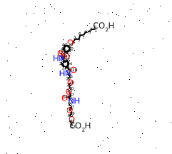 O=C(O)CCCCCCCCCOc1ccc(S(=O)(=O)Nc2ccc(C(=O)NCCOCCOCC(=O)NCCOCCOCC(=O)O)cc2)cc1